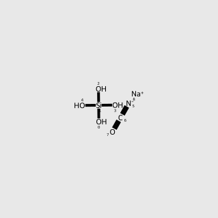 O[Si](O)(O)O.[N-]=C=O.[Na+]